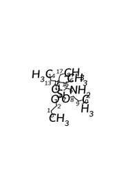 CCCO[Si](CN)(OCCC)OC(CC)(CC)CC